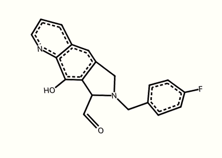 O=CC1c2c(cc3cccnc3c2O)CN1Cc1ccc(F)cc1